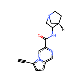 C#Cc1ccc2cnc(C(=O)NC3CN4CC[C@H]3C4)cn12